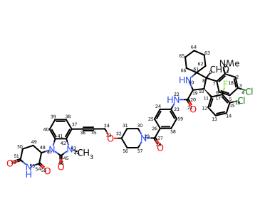 CNc1cc(Cl)ccc1C1(C=O)[C@@H](c2cccc(Cl)c2F)C(C(=O)Nc2ccc(C(=O)N3CCC(OCC#Cc4cccc5c4n(C)c(=O)n5C4CCC(=O)NC4=O)CC3)cc2)NC12CCCCC2